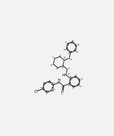 O=C(Nc1ccc(Cl)cn1)c1ccccc1NCC1CCCCN1Cc1ccccc1